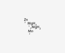 [MgH2].[MgH2].[Mn].[Zn]